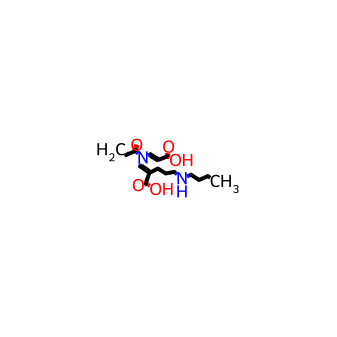 C=CC(=O)N(C=CC(=O)O)C=C(CCCNCCCC)C(=O)O